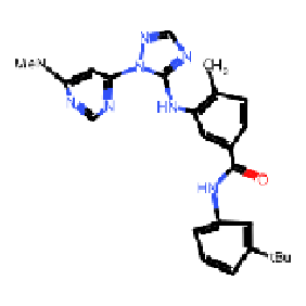 CNc1cc(-n2ncnc2Nc2cc(C(=O)Nc3cccc(C(C)(C)C)c3)ccc2C)ncn1